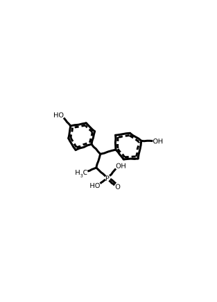 CC(C(c1ccc(O)cc1)c1ccc(O)cc1)P(=O)(O)O